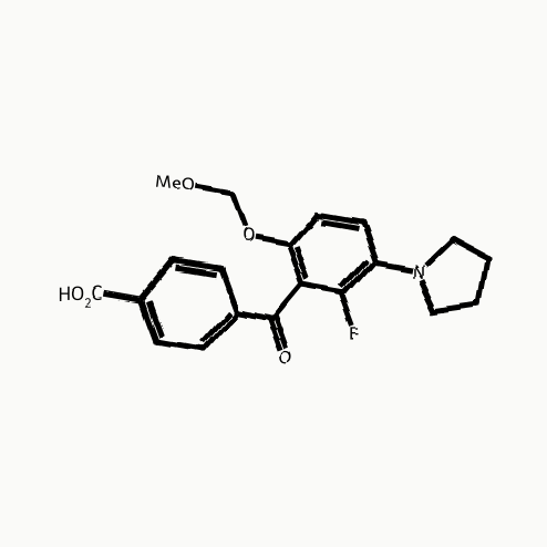 COCOc1ccc(N2CCCC2)c(F)c1C(=O)c1ccc(C(=O)O)cc1